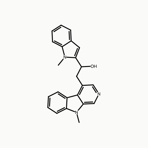 Cn1c(C(O)Cc2cncc3c2c2ccccc2n3C)cc2ccccc21